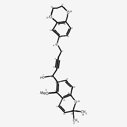 COc1c(C(O)C#CCOc2ccc3c(c2)OCCO3)ccc2c1C=CC(C)(C)O2